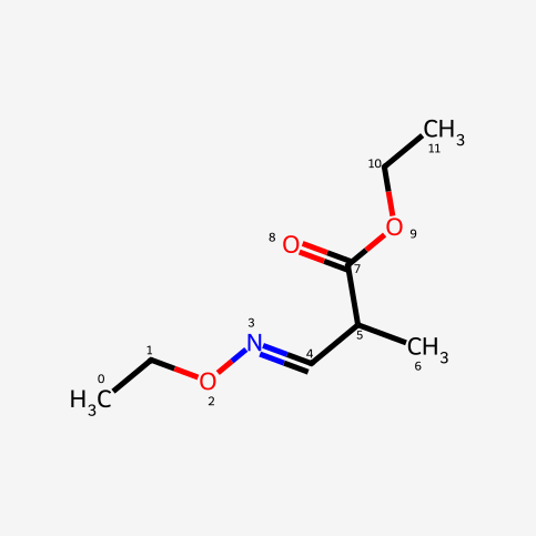 CCON=CC(C)C(=O)OCC